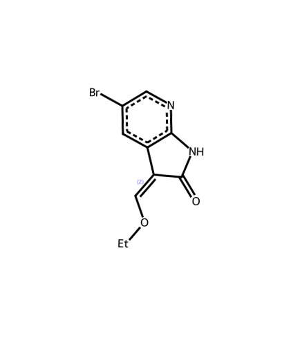 CCO/C=C1\C(=O)Nc2ncc(Br)cc21